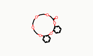 O=C1COCCOCCOCCOc2ccccc2Oc2ccccc2O1